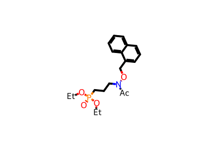 CCOP(=O)(CCCN(OCc1cccc2ccccc12)C(C)=O)OCC